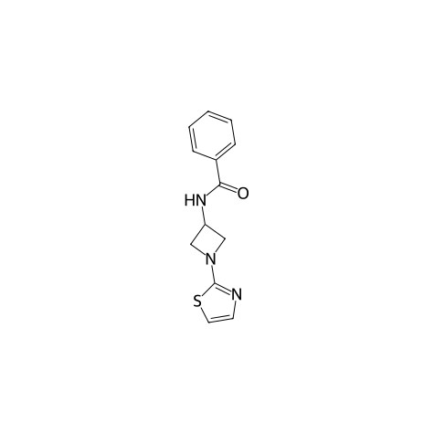 O=C(NC1CN(c2nccs2)C1)c1ccccc1